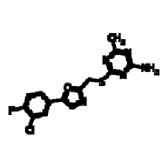 Cc1nc(N)nc(SCc2ncc(-c3ccc(F)c(Cl)c3)o2)n1